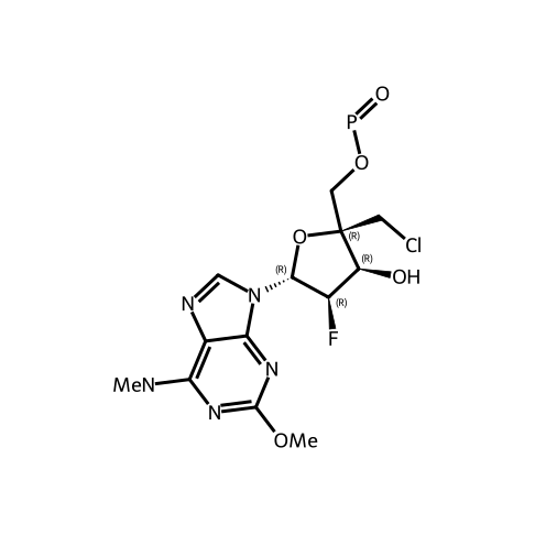 CNc1nc(OC)nc2c1ncn2[C@@H]1O[C@](CCl)(COP=O)[C@@H](O)[C@H]1F